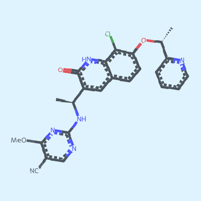 COc1nc(N[C@@H](C)c2cc3ccc(O[C@H](C)c4ccccn4)c(Cl)c3[nH]c2=O)ncc1C#N